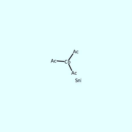 C[C](=O)[Co]([C](C)=O)[C](C)=O.[Sn]